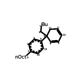 CCCCCCCCc1ccc(C2(CC(C)CC)C=CC=CC2)cc1